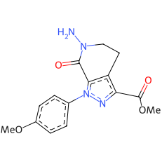 COC(=O)c1nn(-c2ccc(OC)cc2)c2c1CCN(N)C2=O